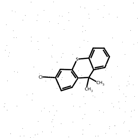 CC1(C)c2ccccc2Sc2cc(Cl)ccc21